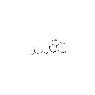 COc1cc(CNSC(O)=S)cc(OC)c1OC